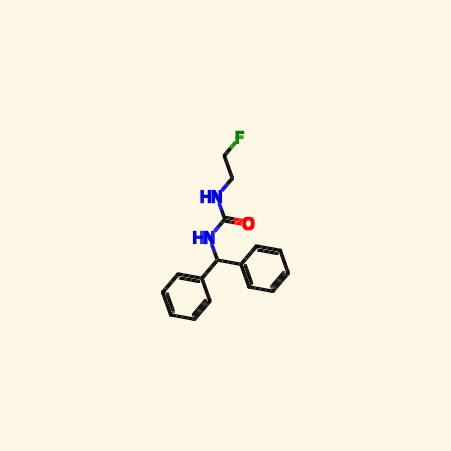 O=C(NCCF)NC(c1ccccc1)c1ccccc1